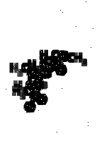 Cc1ccc(N(c2ccc3c(c2)C(C)(C)c2cc(-c4ccccc4)c4ccccc4c2-3)c2ccc3c(c2)C(C)(C)c2cc(-c4cc(C)ccc4C)c4ccccc4c2-3)c(C)c1